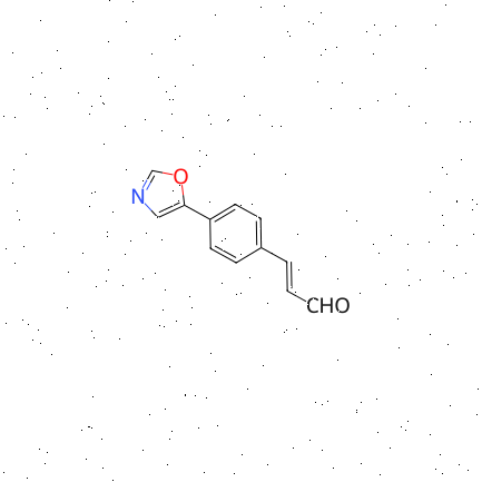 O=C/C=C/c1ccc(-c2cnco2)cc1